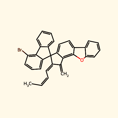 C=C1/C(=C\C=C/C)C2(c3ccccc3-c3c(Br)cccc32)c2ccc3c(oc4ccccc43)c21